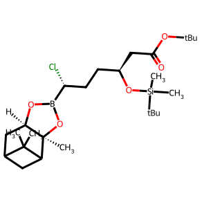 CC(C)(C)OC(=O)C[C@H](CC[C@@H](Cl)B1O[C@@H]2CC3CC(C3(C)C)[C@]2(C)O1)O[Si](C)(C)C(C)(C)C